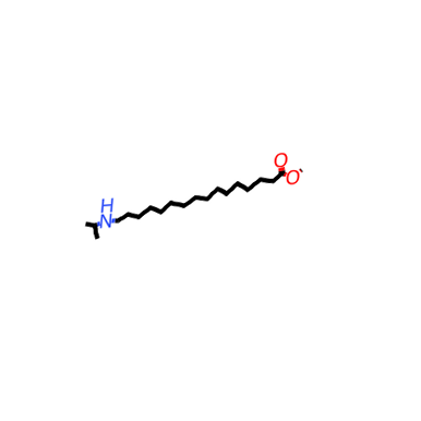 COC(=O)CCCCCCCCCCCCCCCNC(C)C